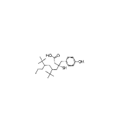 CCCC(CC(CC(S)(CC(=O)O)Cc1ccc(O)cc1)C(C)(C)C)C(C)(C)C